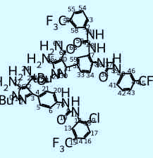 CC(C)(C)n1nc(-c2ccc(NC(=O)Nc3cc(C(F)(F)F)ccc3Cl)cc2)c(C(N)=O)c1N.CC(C)(C)n1nc(-c2ccc(NC(=O)Nc3cccc(C(F)(F)F)c3)c(NC(=O)Nc3cccc(C(F)(F)F)c3)c2)c(C(N)=O)c1N